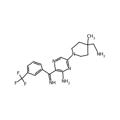 CC1(CN)CCN(c2cnc(C(=N)c3cccc(C(F)(F)F)c3)c(N)n2)CC1